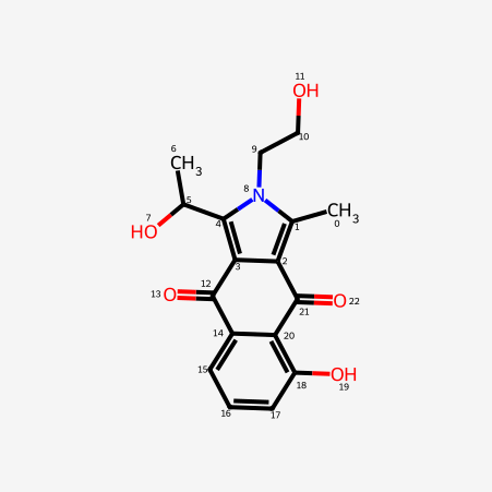 Cc1c2c(c(C(C)O)n1CCO)C(=O)c1cccc(O)c1C2=O